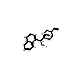 C=CC1CN2CCC1CC2[C@@H](N)c1cccc2ccccc12